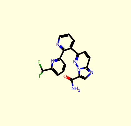 NC(=O)c1cnc2ccc(-c3cccnc3-c3cccc(C(F)F)n3)nn12